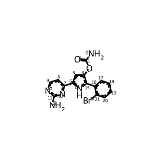 NC(=O)Oc1cc(-c2ccnc(N)n2)[nH]c1-c1ccccc1Br